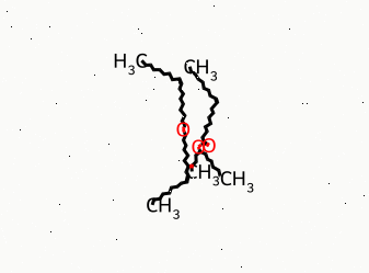 CCCCCCCC/C=C\CCCCCCCC(=O)OC(CCCC)CCCCCCC.CCCCCCCC/C=C\CCCCCCCCOCCCCCCCC/C=C\CCCCCCCC